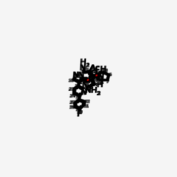 CC(=O)c1c(C2C[C@H]3CC[C@@H](C2)N3C(=O)c2cc(N)n[nH]2)nc2c(-c3ccc(-c4ccc(F)cc4)nc3)cnn2c1N